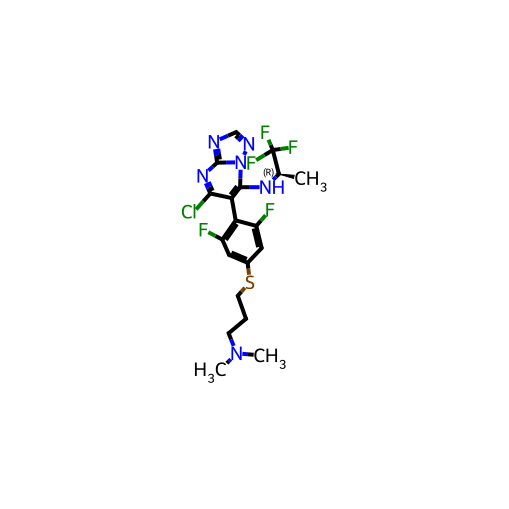 C[C@@H](Nc1c(-c2c(F)cc(SCCCN(C)C)cc2F)c(Cl)nc2ncnn12)C(F)(F)F